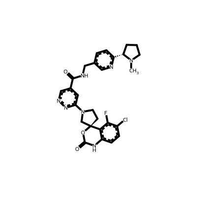 CN1CCC[C@H]1c1ccc(CNC(=O)c2cnnc(N3CC[C@]4(C3)OC(=O)Nc3ccc(Cl)c(F)c34)c2)cn1